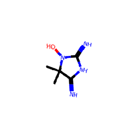 CC1(C)C(=N)NC(=N)N1O